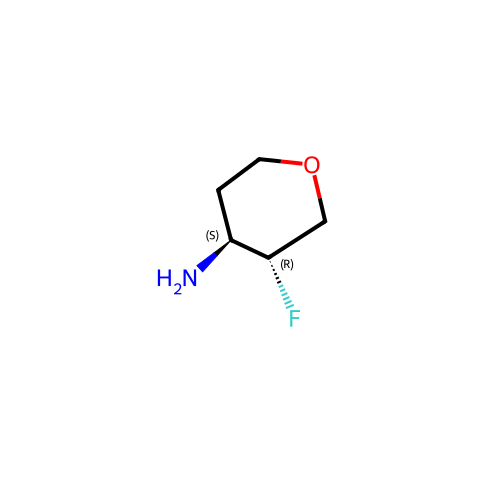 N[C@H]1CCOC[C@@H]1F